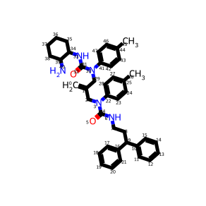 C=C(CN(C(=O)NCCC(c1ccccc1)c1ccccc1)c1ccc(C)cc1)CN(C(=O)NC1CCCCC1N)c1ccc(C)cc1